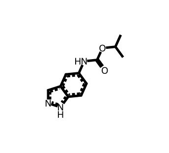 CC(C)OC(=O)Nc1ccc2[nH]ncc2c1